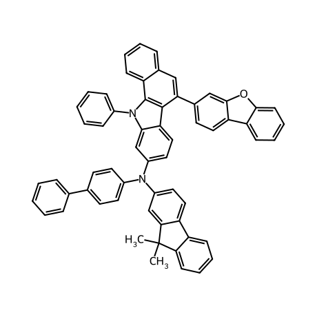 CC1(C)c2ccccc2-c2ccc(N(c3ccc(-c4ccccc4)cc3)c3ccc4c5c(-c6ccc7c(c6)oc6ccccc67)cc6ccccc6c5n(-c5ccccc5)c4c3)cc21